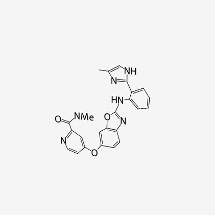 CNC(=O)c1cc(Oc2ccc3nc(Nc4ccccc4-c4nc(C)c[nH]4)oc3c2)ccn1